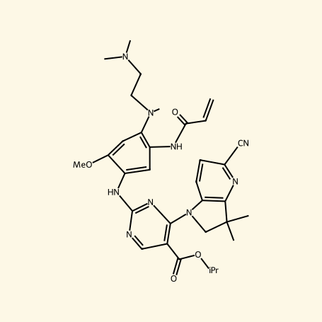 C=CC(=O)Nc1cc(Nc2ncc(C(=O)OC(C)C)c(N3CC(C)(C)c4nc(C#N)ccc43)n2)c(OC)cc1N(C)CCN(C)C